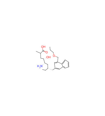 CCCOCc1cc(C[C@H](CC)C[C@H](N)[C@@H](O)CC(C)C(=O)O)cc2ccccc12